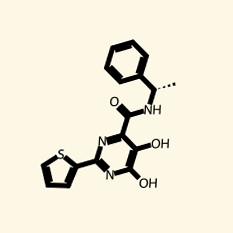 C[C@H](NC(=O)c1nc(-c2cccs2)nc(O)c1O)c1ccccc1